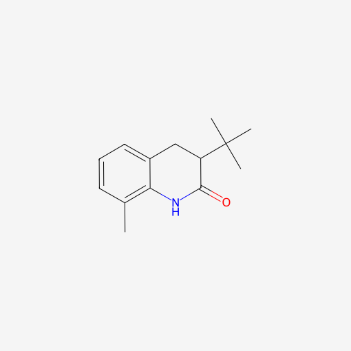 Cc1cccc2c1NC(=O)C(C(C)(C)C)C2